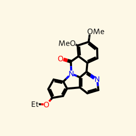 CCOc1ccc2c(c1)c1ccnc3c4ccc(OC)c(OC)c4c(=O)n2c13